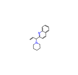 C=CC(c1ccc2ccccc2n1)N1CCCCC1